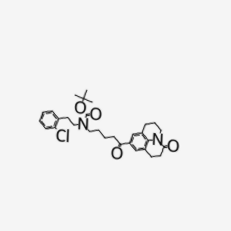 CC(C)(C)OC(=O)N(CCCCC(=O)c1cc2c3c(c1)CCC(=O)N3CCC2)CCc1ccccc1Cl